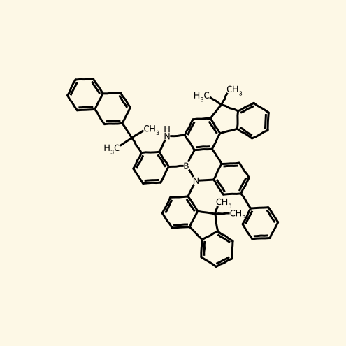 CC(C)(c1ccc2ccccc2c1)c1cccc2c1Nc1cc3c(c4c1B2N(c1cccc2c1C(C)(C)c1ccccc1-2)c1cc(-c2ccccc2)ccc1-4)-c1ccccc1C3(C)C